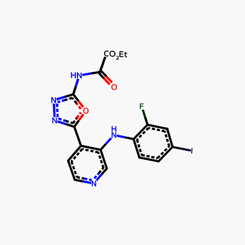 CCOC(=O)C(=O)Nc1nnc(-c2ccncc2Nc2ccc(I)cc2F)o1